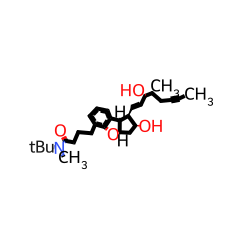 CC#CC[C@H](C)[C@H](O)/C=C/[C@@H]1[C@H]2c3cccc(CCCC(=O)N(C)C(C)(C)C)c3O[C@H]2C[C@H]1O